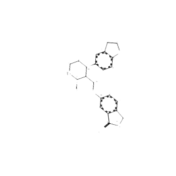 C[C@H]1NCC[C@@H](c2ccc3c(c2)CCO3)C1COc1ccc2c(c1)C(=O)NC2